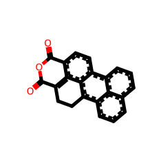 O=C1OC(=O)c2ccc3c4c(c5cccc6cccc3c65)CCC1=c24